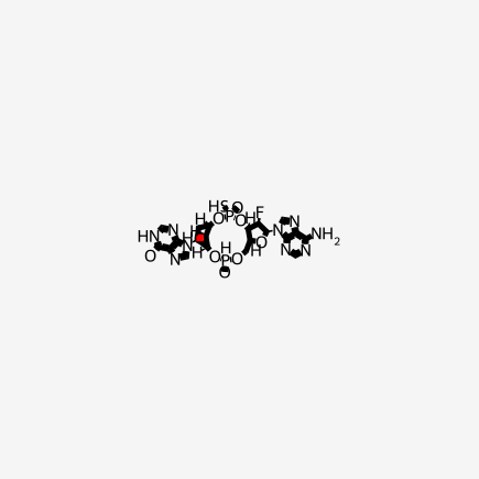 Nc1ncnc2c1ncn2[C@@H]1O[C@@H]2CO[PH](=O)O[C@@H]3[C@H](O)[C@H](C[C@H]3n3cnc4c(=O)[nH]cnc43)OP(=O)(S)O[C@H]2[C@H]1F